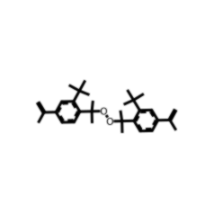 C=C(C)c1ccc(C(C)(C)OOC(C)(C)c2ccc(C(=C)C)cc2C(C)(C)C)c(C(C)(C)C)c1